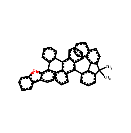 CC1(C)c2cccc(-c3c4ccccc4c(-c4ccccc4-c4cccc5c4oc4ccccc45)c4ccccc34)c2-c2c1ccc1ccccc21